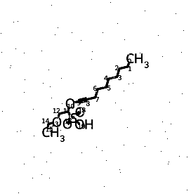 CCCCCCCCC#COC(COCC)S(=O)(=O)O